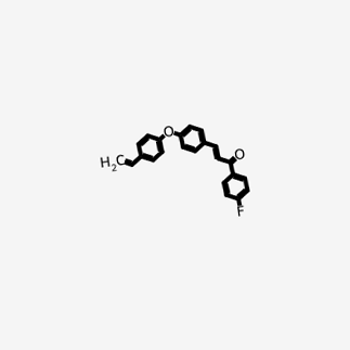 C=Cc1ccc(Oc2ccc(C=CC(=O)c3ccc(F)cc3)cc2)cc1